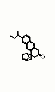 CCC(C)c1ccc2cc3c(cc2c1)C1(CC(=O)C3)CC2=CCC1C2